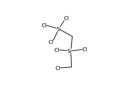 ClC[Si](Cl)(Cl)C[Si](Cl)(Cl)Cl